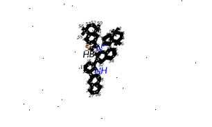 CC1(C)CCC(C)(C)c2cc(N3c4c(c(-c5cccc6c5[nH]c5cc7ccccc7cc56)cc5ccccc45)Bc4sc5cc6c(cc5c43)C(C)(C)CCC6(C)C)ccc21